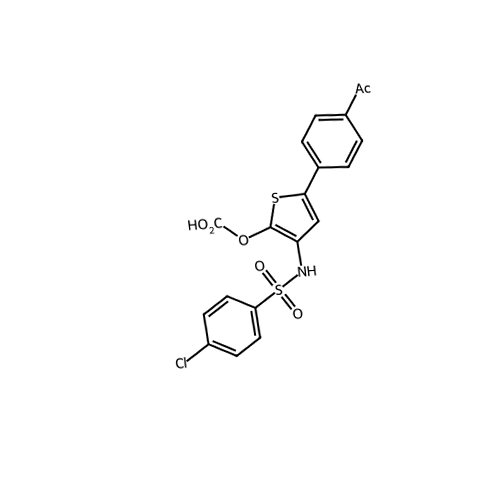 CC(=O)c1ccc(-c2cc(NS(=O)(=O)c3ccc(Cl)cc3)c(OC(=O)O)s2)cc1